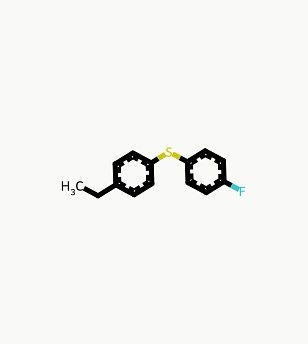 CCc1ccc(Sc2ccc(F)cc2)cc1